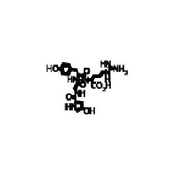 N=C(N)NCCC[C@H](NC(=O)[C@H](Cc1ccc(O)cc1)NC(=O)CNC(=O)[C@@H]1C[C@@H](O)CN1)C(=O)O